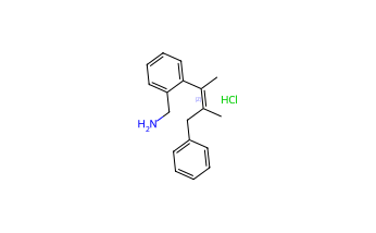 C/C(Cc1ccccc1)=C(\C)c1ccccc1CN.Cl